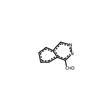 O=Cc1nncc2c[c]ccc12